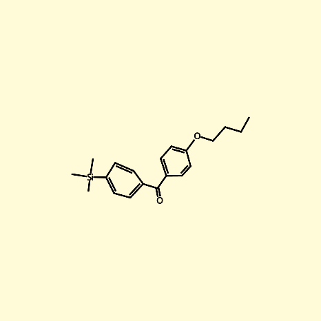 CCCCOc1ccc(C(=O)c2ccc([Si](C)(C)C)cc2)cc1